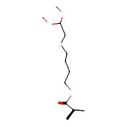 C=C(C)C(=O)OCCCC[SiH2]CC(OC)OC